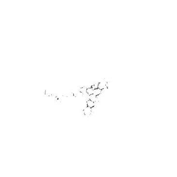 O=C(O)CCCOc1ccc(C(=O)O)c(C2=c3cc4c(cc3Oc3cc5c(cc32)CCCN5)=NCCC4)c1